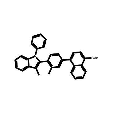 CSc1ccc(-c2ccc(-c3c(C)c4ccccc4n3-c3ccccc3)c(C)c2)c2ccccc12